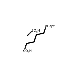 CCCCCCCCCCCC(=O)O.CS(=O)(=O)O